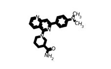 CN(C)c1ccc(-c2cc3ncccc3c(N3CCCC(C(N)=O)C3)n2)cc1